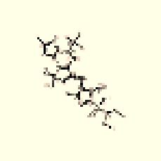 CCN(CC)S(=O)(=O)c1sc(C)c(NC2=CS(=O)(=O)N=C2N[C@@H](c2ccc(C)o2)C(C)(C)C)c1O